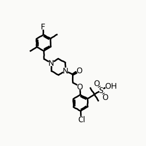 Cc1cc(CN2CCN(C(=O)COc3ccc(Cl)cc3C(C)(C)S(=O)(=O)O)CC2)c(C)cc1F